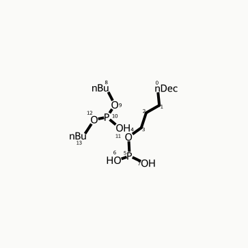 CCCCCCCCCCCCCOP(O)O.CCCCOP(O)OCCCC